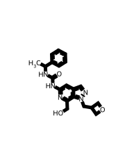 CC(NC(=O)Nc1cc2cnn(CC3COC3)c2c(CO)n1)c1ccccc1